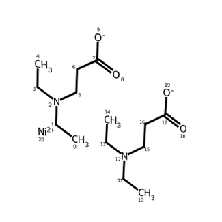 CCN(CC)CCC(=O)[O-].CCN(CC)CCC(=O)[O-].[Ni+2]